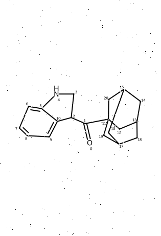 O=C(C1CNc2ccccc21)C12CC3CC(CC(C3)C1)C2